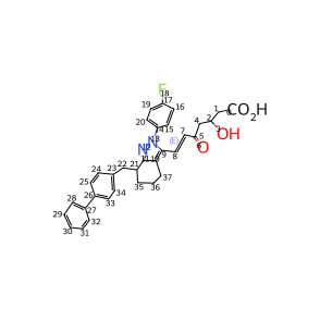 O=C(O)CC(O)CC(=O)/C=C/c1c2c(nn1-c1ccc(F)cc1)C(Cc1ccc(-c3ccccc3)cc1)CCC2